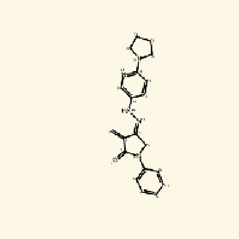 C=C1C(=O)N(c2cccnc2)C/C1=N/Nc1ccc(N2CCCC2)nc1